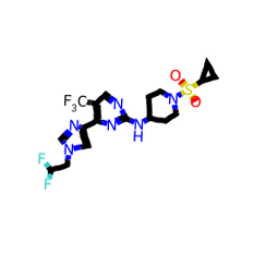 O=S(=O)(C1CC1)N1CCC(Nc2ncc(C(F)(F)F)c(-c3cn(CC(F)F)cn3)n2)CC1